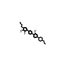 CCCCc1ccc(-c2ccc(-c3ccc(C4CCC(CCC)CC4)cc3F)cc2)c(F)c1F